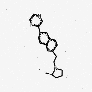 C[C@@H]1CCCN1CCc1ccc2cc(-c3cnccn3)ccc2c1